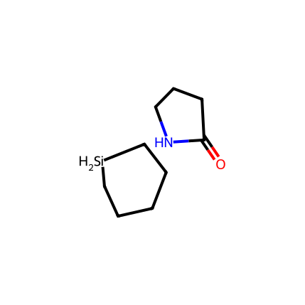 C1CC[SiH2]CC1.O=C1CCCN1